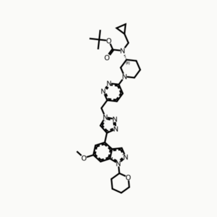 COc1cc(-c2cn(Cc3ccc(N4CCC[C@@H](N(CC5CC5)C(=O)OC(C)(C)C)C4)nn3)nn2)c2cnn(C3CCCCO3)c2c1